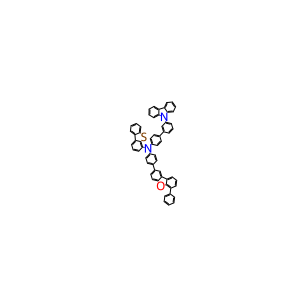 c1ccc(-c2cccc3c2oc2ccc(-c4ccc(N(c5ccc(-c6cccc(-n7c8ccccc8c8ccccc87)c6)cc5)c5cccc6c5sc5ccccc56)cc4)cc23)cc1